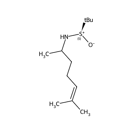 CC(C)=CCCC(C)N[S@+]([O-])C(C)(C)C